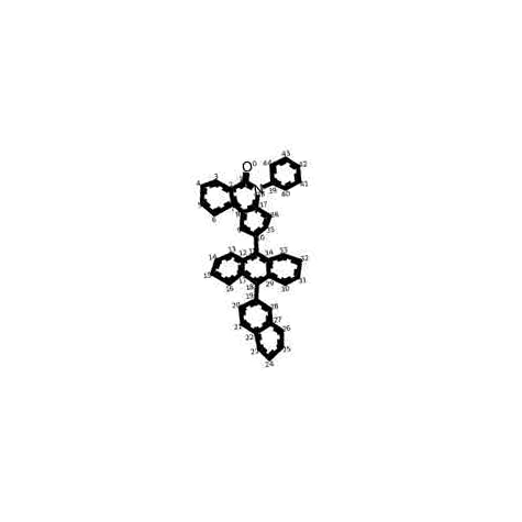 O=c1c2ccccc2c2cc(-c3c4ccccc4c(-c4ccc5ccccc5c4)c4ccccc34)ccc2n1-c1ccccc1